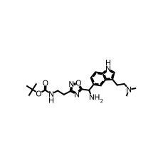 CN(C)CCc1c[nH]c2ccc(C(N)c3nc(CCNC(=O)OC(C)(C)C)no3)cc12